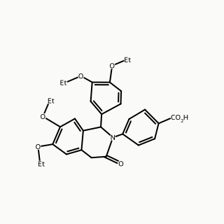 CCOc1ccc(C2c3cc(OCC)c(OCC)cc3CC(=O)N2c2ccc(C(=O)O)cc2)cc1OCC